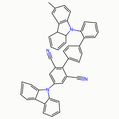 Cc1ccc2c(c1)C1C=CC=CC1N2c1ccccc1-c1ccc(-c2c(C#N)cc(-n3c4ccccc4c4ccccc43)cc2C#N)cc1